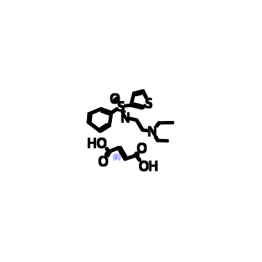 CCN(CC)CCN=S(=O)(c1ccccc1)c1ccsc1.O=C(O)/C=C/C(=O)O